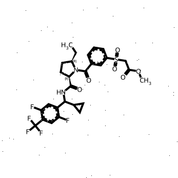 CC[C@@H]1CC[C@H](C(=O)NC(c2cc(F)c(C(F)(F)F)cc2F)C2CC2)N1C(=O)c1cccc(S(=O)(=O)CC(=O)OC)c1